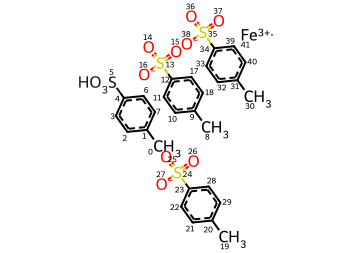 Cc1ccc(S(=O)(=O)O)cc1.Cc1ccc(S(=O)(=O)[O-])cc1.Cc1ccc(S(=O)(=O)[O-])cc1.Cc1ccc(S(=O)(=O)[O-])cc1.[Fe+3]